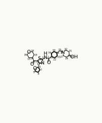 O=C(Nc1nc(-c2ccco2)c(C(=O)C2CCOCC2)s1)c1ccc(CN2CCC(O)CC2)cc1